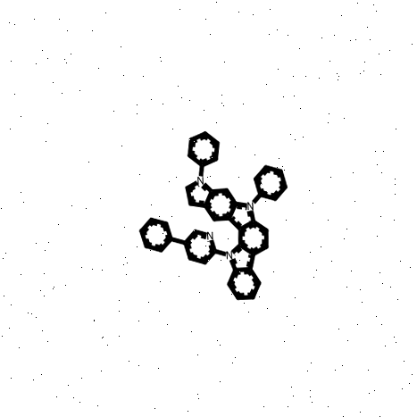 c1ccc(-c2ccc(-n3c4ccccc4c4ccc5c(c6cc7ccn(-c8ccccc8)c7cc6n5-c5ccccc5)c43)nc2)cc1